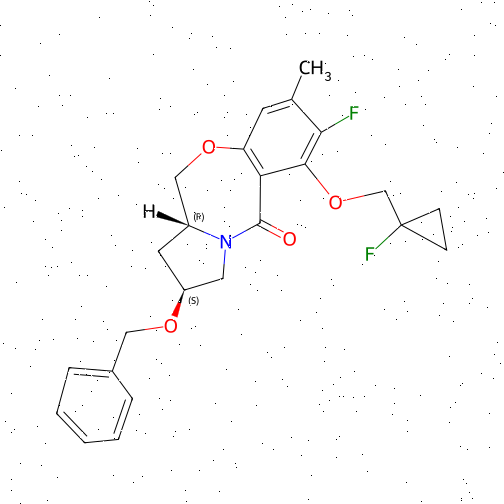 Cc1cc2c(c(OCC3(F)CC3)c1F)C(=O)N1C[C@@H](OCc3ccccc3)C[C@@H]1CO2